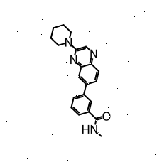 CNC(=O)c1cccc(-c2ccc3ncc(N4CCCCC4)nc3c2)c1